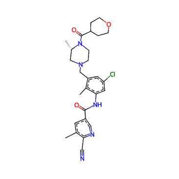 Cc1cc(C(=O)Nc2cc(Cl)cc(CN3CCN(C(=O)C4CCOCC4)[C@@H](C)C3)c2C)cnc1C#N